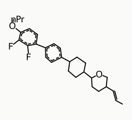 C/C=C/C1CCC(C2CCC(c3ccc(-c4ccc(OCCC)c(F)c4F)cc3)CC2)OC1